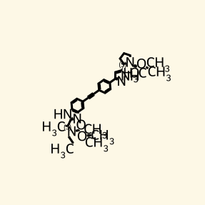 CCCN(C(=O)OC(C)(C)C)[C@@H](C)c1nc2cc(C#Cc3ccc(-c4cc([C@@H]5CCCN5C(=O)OC(C)(C)C)[nH]n4)cc3)ccc2[nH]1